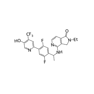 CCN1Cc2c(ccnc2NC(C)c2cc(F)c(-c3cc(C(F)(F)F)c(O)cn3)cc2F)C1=O